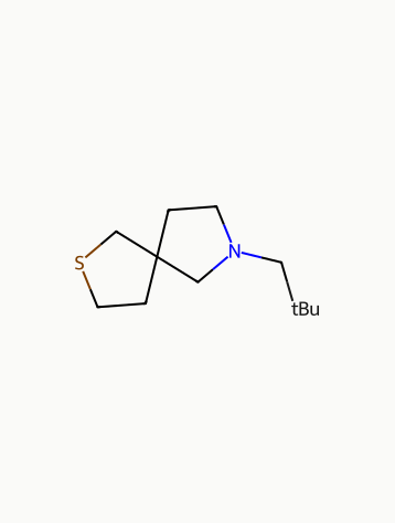 CC(C)(C)CN1CCC2(CCSC2)C1